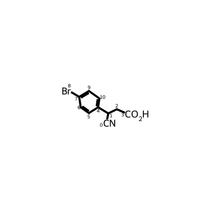 N#CC(CC(=O)O)c1ccc(Br)cc1